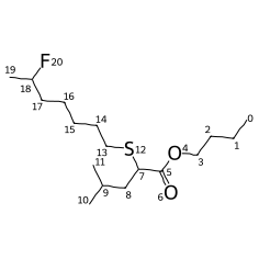 CCCCOC(=O)C(CC(C)C)SCCCCCC(C)F